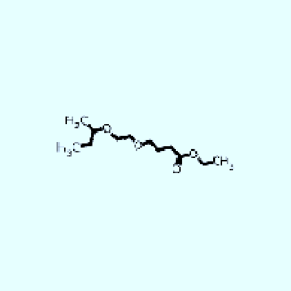 CCOC(=O)CCCOCCOC(C)CC